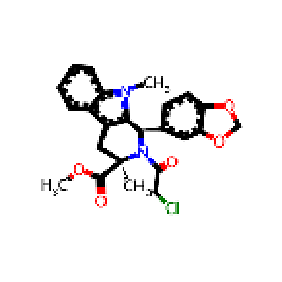 COC(=O)[C@@]1(C)Cc2c(n(C)c3ccccc23)[C@@H](c2ccc3c(c2)OCO3)N1C(=O)CCl